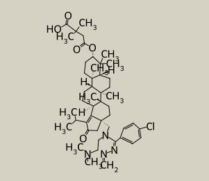 C=N/N=C(/c1ccc(Cl)cc1)N(CCN(C)C)C[C@@]12CC[C@]3(C)[C@H](CC[C@@H]4[C@@]5(C)CC[C@H](OC(=O)CC(C)(C)C(=O)O)C(C)(C)[C@@H]5CC[C@]43C)C1=C(C(C)C)C(=O)C2